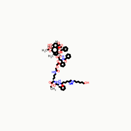 CCOC(=O)[C@H](CCCCNC(=O)COCC(=O)O[C@@H](C(=O)O[C@H]1C[C@@]2(O)[C@@H](OC(=O)c3ccccc3)[C@@H]3[C@]4(OC(C)=O)CO[C@@H]4C[C@H](O)[C@@]3(C)C(=O)[C@H](OC(C)=O)C(=C1C)C2(C)C)C(NC(=O)c1ccccc1)c1ccccc1)NC(=O)[C@@H](Cc1ccccc1)NC(=O)CCCc1cn(CCCCCCO)nn1